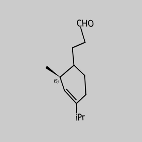 CC(C)C1=C[C@@H](C)C(CCC=O)CC1